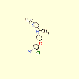 C=C1c2ccc(C)nc2CN1[C@H]1CC[C@H](Oc2ccc(C#N)c(Cl)c2)CC1